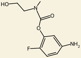 CN(CCO)C(=O)Oc1cc(N)ccc1F